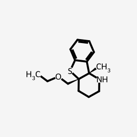 CCOC[C@]12CCCN[C@@]1(C)c1ccccc1S2